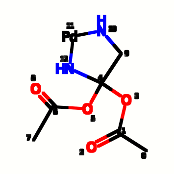 CC(=O)OC1(OC(C)=O)C[NH][Pd][NH]1